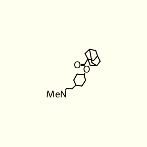 CNCCC1CCC(OC(=O)C23CC4CC(CC(C4)C2)C3)CC1